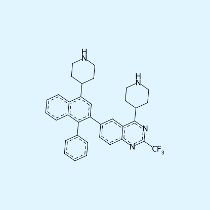 FC(F)(F)c1nc(C2CCNCC2)c2cc(-c3cc(C4CCNCC4)c4ccccc4c3-c3ccccc3)ccc2n1